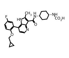 Cc1[nH]c2c(-c3cc(F)ccc3OCC3CC3)ccnc2c1C(=O)N[C@H]1CC[C@@H](NC(=O)O)CC1